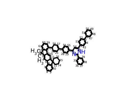 CC1(C)C2=CC3c4ccccc4C4(CCCCC4)C3C=C2c2c(C3C=CC(c4ccc(C5=NC(c6ccccc6)NC(c6ccc(-c7ccccc7)cc6)=C5)cc4)=CC3)cccc21